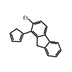 CCc1ccc2c(c1C1=CC=CC1)Cc1ccccc1-2